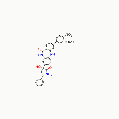 COc1cc(-c2ccc3c(c2)Nc2ccc([C@](O)(CCc4ccccc4)C(N)=O)cc2NC3=O)ccc1[N+](=O)[O-]